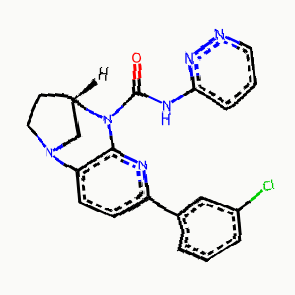 O=C(Nc1cccnn1)N1c2nc(-c3cccc(Cl)c3)ccc2N2CC[C@H]1C2